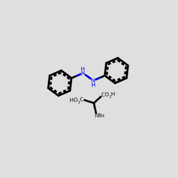 CCCCC(C(=O)O)C(=O)O.c1ccc(NNc2ccccc2)cc1